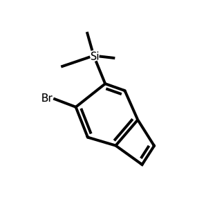 C[Si](C)(C)c1cc2c(cc1Br)C=C2